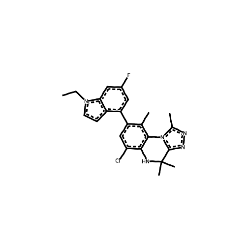 CCn1ccc2c(-c3cc(Cl)c4c(c3C)-n3c(C)nnc3C(C)(C)N4)cc(F)cc21